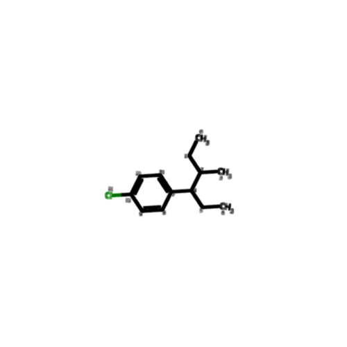 CCC(C)C(CC)c1ccc(Cl)cc1